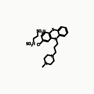 CN1CCN(CCCN2c3ccccc3Sc3ccc(Cl)cc32)CC1.O=S(=O)(O)CCS(=O)(=O)O